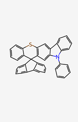 c1ccc(-n2c3ccccc3c3cc4c(cc32)C2(c3ccccc3S4)c3ccccc3-c3ccccc32)cc1